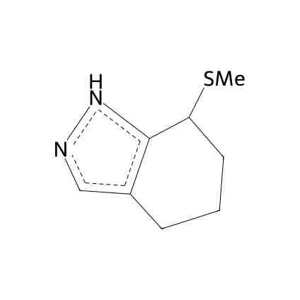 CSC1CCCc2cn[nH]c21